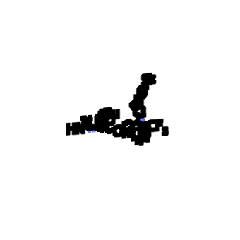 CN(C)C(=N)/C=C/CN(CCOc1ccc(/C(=C(/CC(F)(F)F)B2OC(C)(C)C(C)(C)O2)c2ccc3c(ccn3COCC[Si](C)(C)C)c2)cn1)C(=O)OC(C)(C)C